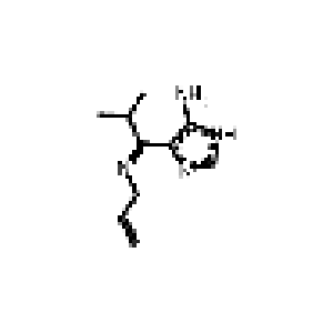 C=CC/N=C(\c1nc[nH]c1N)C(C)C